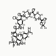 CNc1ccc(-c2[nH]nc(C(F)(F)F)c2-c2cnc(C(=O)Nc3ccc(C(=O)N4CCN(C(=O)C5CCN(C(=O)OC(C)(C)C)CC5)CC4)c(Cl)c3)n2C)nc1